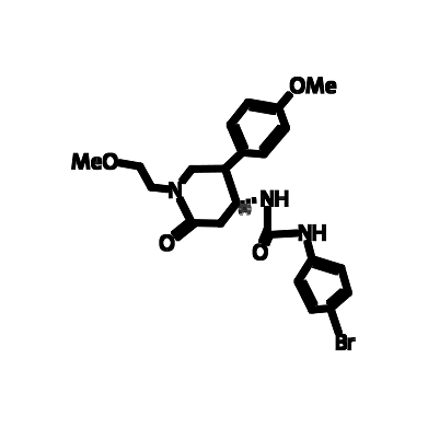 COCCN1CC(c2ccc(OC)cc2)[C@H](NC(=O)Nc2ccc(Br)cc2)CC1=O